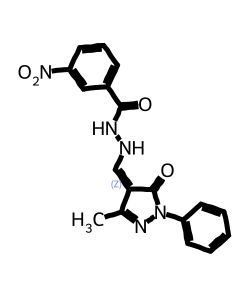 CC1=NN(c2ccccc2)C(=O)/C1=C\NNC(=O)c1cccc([N+](=O)[O-])c1